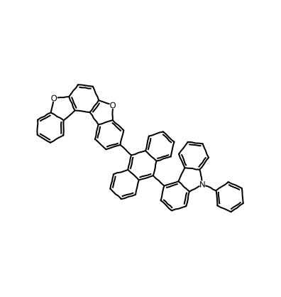 c1ccc(-n2c3ccccc3c3c(-c4c5ccccc5c(-c5ccc6c(c5)oc5ccc7oc8ccccc8c7c56)c5ccccc45)cccc32)cc1